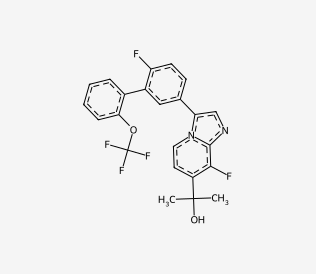 CC(C)(O)c1ccn2c(-c3ccc(F)c(-c4ccccc4OC(F)(F)F)c3)cnc2c1F